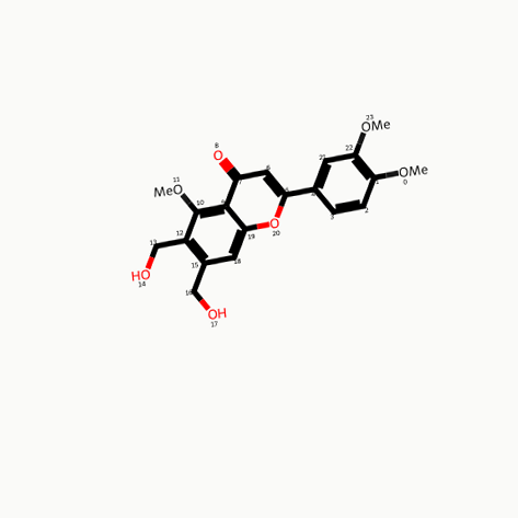 COc1ccc(-c2cc(=O)c3c(OC)c(CO)c(CO)cc3o2)cc1OC